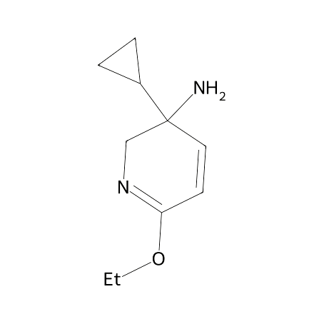 CCOC1=NCC(N)(C2CC2)C=C1